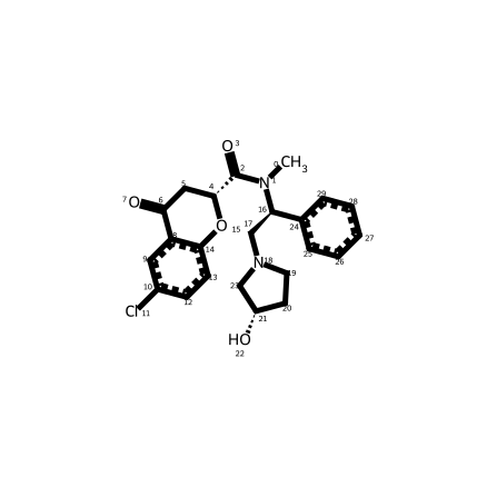 CN(C(=O)[C@H]1CC(=O)c2cc(Cl)ccc2O1)[C@H](CN1CC[C@H](O)C1)c1ccccc1